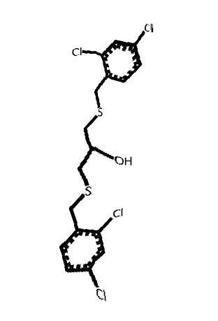 OC(CSCc1ccc(Cl)cc1Cl)CSCc1ccc(Cl)cc1Cl